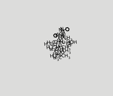 CC[C@H](C)[C@@H]([C@@H](CC(=O)N1CCC[C@H]1[C@H](OC)[C@@H](C)C(=O)N[C@H](Cc1ccccc1)c1nnc(-c2ccccc2)o1)OC)N(C)C(=O)[C@@H](NC(=O)[C@@H](NC)C(C)C)C(C)C.O=C(O)C(F)(F)F